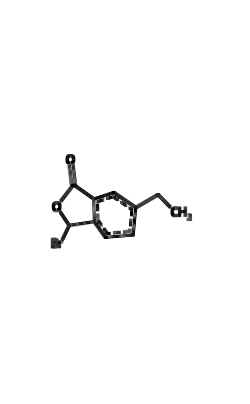 CCc1ccc2c(c1)C(=O)OC2Br